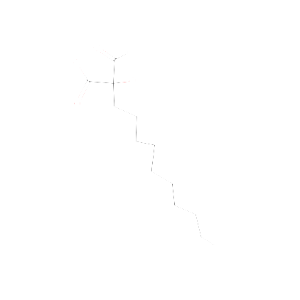 CCCCCCCCCCC(O)(C(C)=O)C(=O)O